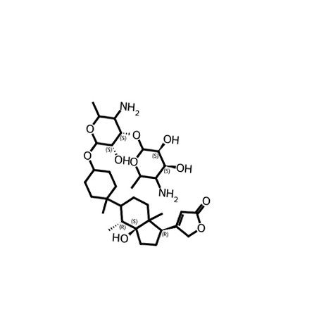 CC1OC(O[C@H]2C(N)C(C)OC(OC3CCC(C)(C4CCC5(C)[C@@H](C6=CC(=O)OC6)CC[C@]5(O)[C@@H]4C)CC3)[C@H]2O)[C@@H](O)[C@@H](O)C1N